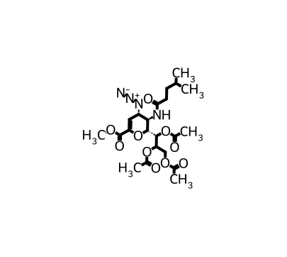 COC(=O)C1=C[C@H](N=[N+]=[N-])[C@@H](NC(=O)CCC(C)C)[C@H](C(OC(C)=O)C(COC(C)=O)OC(C)=O)O1